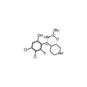 CC(C)(C)[S+]([O-])N[C@@H](c1c(O)cc(Cl)c(Cl)c1F)C1CCNCC1